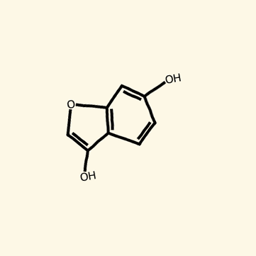 Oc1ccc2c(O)coc2c1